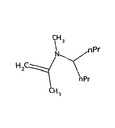 C=C(C)N(C)C(CCC)CCC